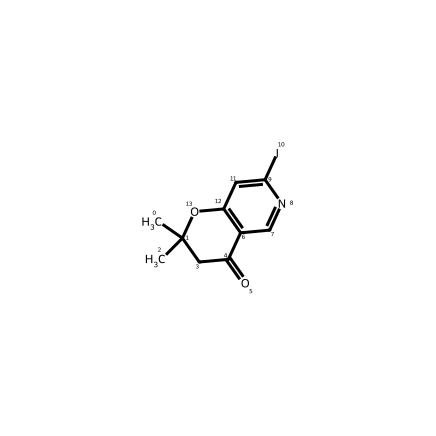 CC1(C)CC(=O)c2cnc(I)cc2O1